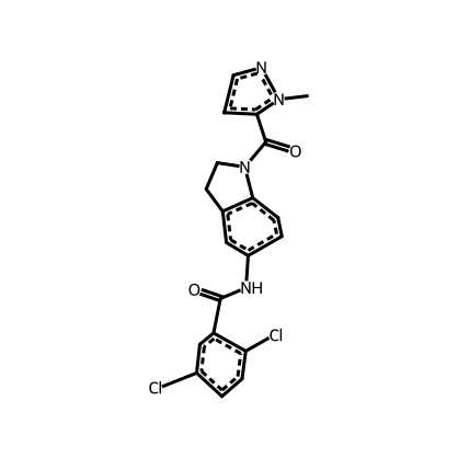 Cn1nccc1C(=O)N1CCc2cc(NC(=O)c3cc(Cl)ccc3Cl)ccc21